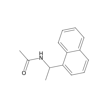 CC(=O)NC(C)c1cccc2ccccc12